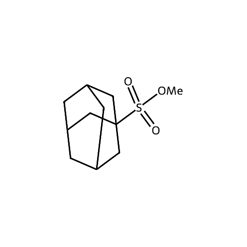 COS(=O)(=O)C12CC3CC(CC(C3)C1)C2